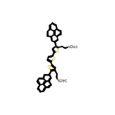 CCCCCCCCCCCCc1cc(-c2ccc(-c3cc(-c4cc5ccc6cccc7ccc(c4)c5c67)c(CCCCCCCCCCCC)s3)s2)sc1-c1cc2ccc3cccc4ccc(c1)c2c34